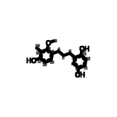 COc1c(CCCc2cc(O)ccc2O)ccc(O)c1C